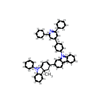 CC12CC(c3ccc4c5ccccc5n(-c5ccc(-c6cc(-c7ccccc7)nc(-c7ccccc7)c6)cc5)c4c3)=CC=C1N(c1ccccc1)c1ccccc12